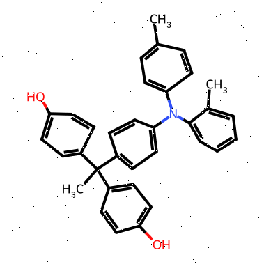 Cc1ccc(N(c2ccc(C(C)(c3ccc(O)cc3)c3ccc(O)cc3)cc2)c2ccccc2C)cc1